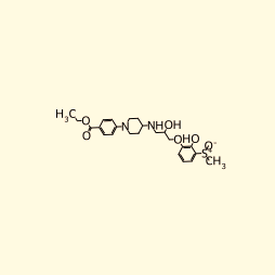 CCOC(=O)c1ccc(N2CCC(NCC(O)COc3cccc([S+](C)[O-])c3O)CC2)cc1